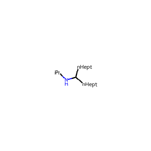 CCCCCCCC(CCCCCCC)NC(C)C